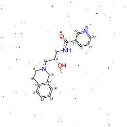 O=C(NC[C@H](O)CN1CCc2ccccc2C1)c1cccnc1